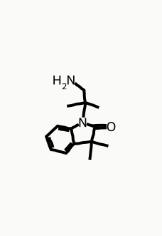 CC1(C)C(=O)N(C(C)(C)CN)c2ccccc21